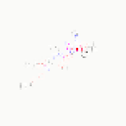 COCCOCCN(CCCC[C@@H](NC(=O)[C@@H](CC(C)C)NC(=O)[C@@H](Cc1ccccc1)NC(=O)[C@@H](Cc1ccccc1)NC(=O)OC(C)(C)C)C(=O)OC)C(=O)OC(C)(C)C